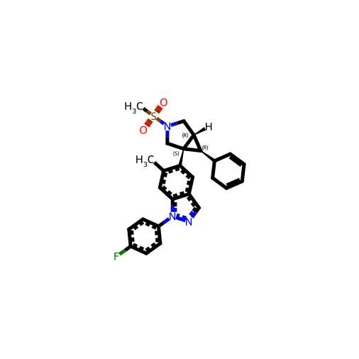 Cc1cc2c(cnn2-c2ccc(F)cc2)cc1[C@@]12CN(S(C)(=O)=O)C[C@@H]1[C@H]2C1C=CC=CC1